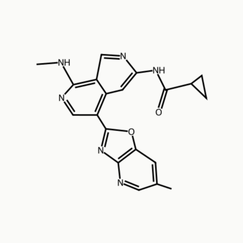 CNc1ncc(-c2nc3ncc(C)cc3o2)c2cc(NC(=O)C3CC3)ncc12